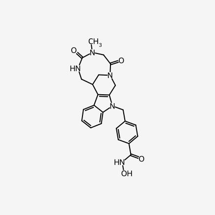 CN1CC(=O)N2Cc3c(c4ccccc4n3Cc3ccc(C(=O)NO)cc3)C(CNC1=O)C2